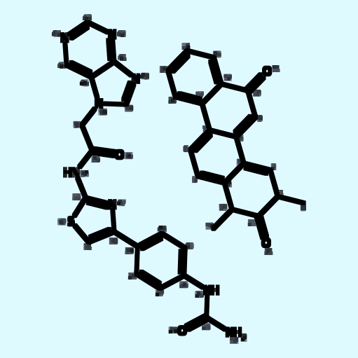 CC1C=c2c(ccc3c2=CC(=O)c2ccccc2-3)C(C)C1=O.NC(=O)Nc1ccc(-c2csc(NC(=O)Cn3cnc4ncncc43)n2)cc1